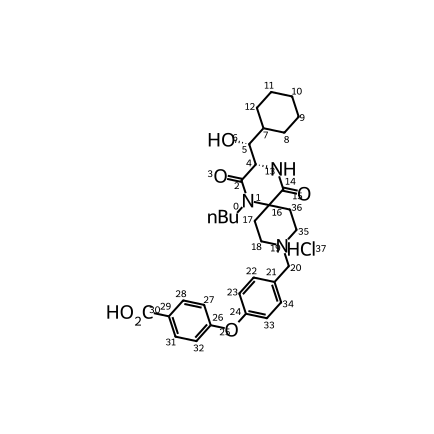 CCCCN1C(=O)[C@H]([C@H](O)C2CCCCC2)NC(=O)C12CCN(Cc1ccc(Oc3ccc(C(=O)O)cc3)cc1)CC2.Cl